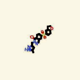 Cc1cc(Cn2ncc3cc(S(=O)(=O)c4ccc5c(c4)CCO5)ccc3c2=O)n[nH]1